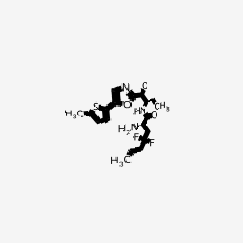 CCCC(F)(F)C[C@H](N)C(=O)N[C@H](CC)C(=O)c1ncc(-c2ccc(C)s2)o1